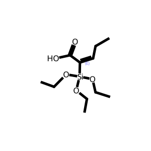 CC/C=C(\C(=O)O)[Si](OCC)(OCC)OCC